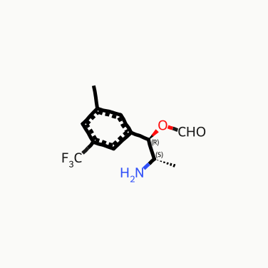 Cc1cc([C@@H](OC=O)[C@H](C)N)cc(C(F)(F)F)c1